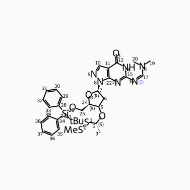 CSS[C@@H](C)OC1C[C@H](n2ncc3c(=O)[nH]c(/N=C\N(C)C)nc32)O[C@@H]1CO[Si](c1ccccc1)(c1ccccc1)C(C)(C)C